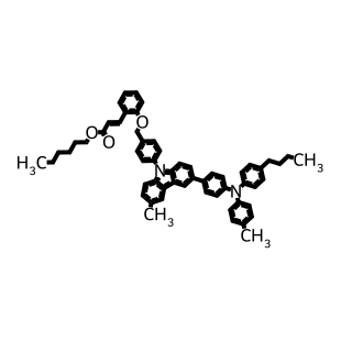 CCCCCCOC(=O)/C=C/c1ccccc1OCc1ccc(-n2c3ccc(C)cc3c3cc(-c4ccc(N(c5ccc(C)cc5)c5ccc(CCCC)cc5)cc4)ccc32)cc1